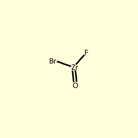 [O]=[Zr]([F])[Br]